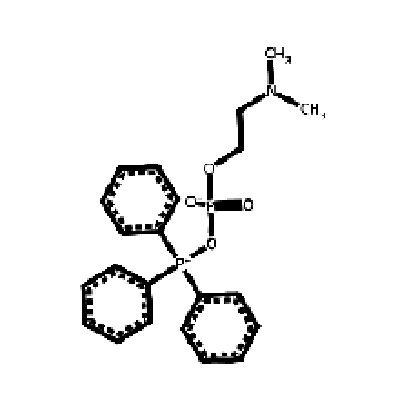 CN(C)CCOP(=O)([O-])O[P+](c1ccccc1)(c1ccccc1)c1ccccc1